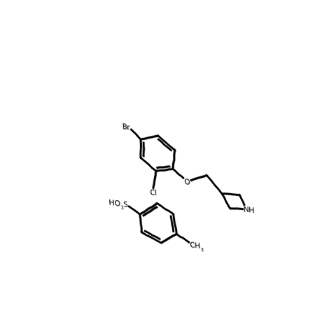 Cc1ccc(S(=O)(=O)O)cc1.Clc1cc(Br)ccc1OCC1CNC1